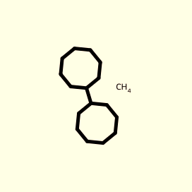 C.C1CCCC(C2CCCCCCC2)CCC1